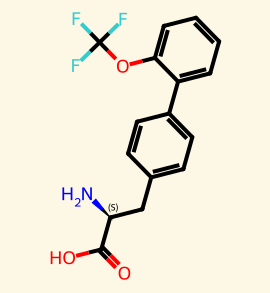 N[C@@H](Cc1ccc(-c2ccccc2OC(F)(F)F)cc1)C(=O)O